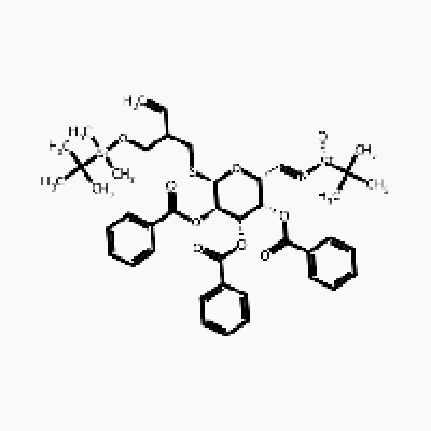 C=CC(CO[Si](C)(C)C(C)(C)C)CS[C@H]1O[C@H](/C=N/[S@+]([O-])C(C)(C)C)[C@H](OC(=O)c2ccccc2)[C@H](OC(=O)c2ccccc2)[C@H]1OC(=O)c1ccccc1